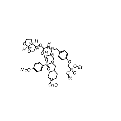 CCOP(=O)(COc1ccc(C[C@H](NC(=O)O[C@H]2CO[C@H]3OCC[C@H]32)[C@H](O)CN(CC2CCN(C=O)CC2)S(=O)(=O)c2ccc(OC)cc2)cc1)OCC